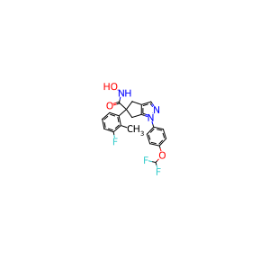 Cc1c(F)cccc1C1(C(=O)NO)Cc2cnn(-c3ccc(OC(F)F)cc3)c2C1